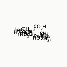 CC1(C)CC(N(O)Cc2ccc(CC(CCCCCCCC(=O)O)(Cc3ccc(CN(O)C4CC(C)(C)NC(C)(C)C4)cc3)C(=O)O)cc2)CC(C)(C)N1